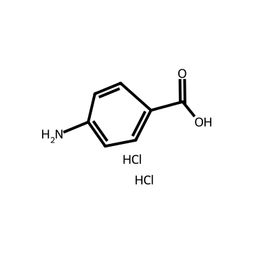 Cl.Cl.Nc1ccc(C(=O)O)cc1